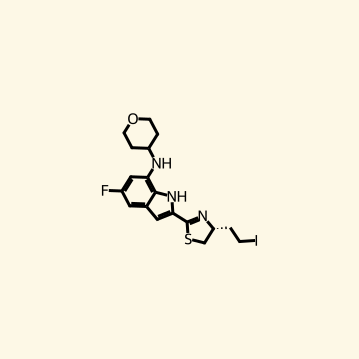 Fc1cc(NC2CCOCC2)c2[nH]c(C3=N[C@H](CCI)CS3)cc2c1